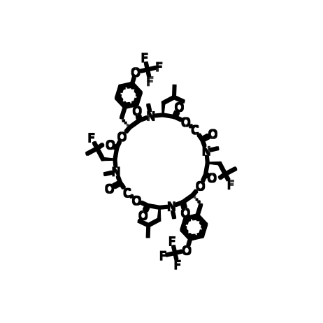 CC(C)C[C@H]1C(=O)OCC(=O)N(C)[C@@H](CC(C)(C)F)C(=O)O[C@H](Cc2ccc(OC(F)(F)F)cc2)C(=O)N(C)[C@@H](CC(C)C)C(=O)OCC(=O)N(C)[C@@H](CC(C)(C)F)C(=O)O[C@H](Cc2ccc(OC(F)(F)F)cc2)C(=O)N1C